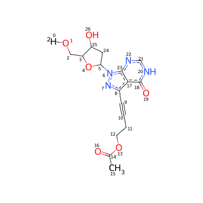 [2H]OCC1OC(n2nc(C#CCCOC(C)=O)c3c(=O)[nH]cnc32)CC1O